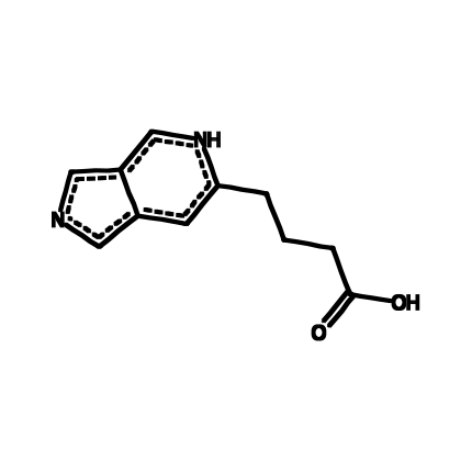 O=C(O)CCCc1cc2cncc-2c[nH]1